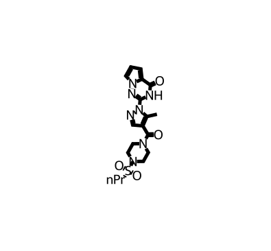 CCCS(=O)(=O)N1CCN(C(=O)c2cnn(-c3nn4cccc4c(=O)[nH]3)c2C)CC1